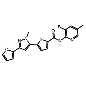 Cc1cnc(NC(=O)c2ccc(-c3cc(-c4ccco4)nn3C)s2)c(F)c1